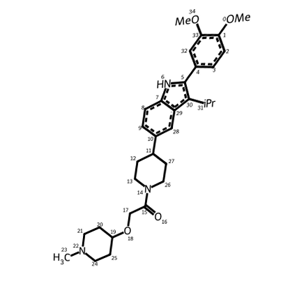 COc1ccc(-c2[nH]c3ccc(C4CCN(C(=O)COC5CCN(C)CC5)CC4)cc3c2C(C)C)cc1OC